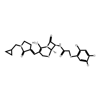 O=C(CSc1cc(Cl)c(Cl)cc1Cl)N[C@@H]1C(=O)N2C(C(=O)O)=C(C=C3CCN(CC4CC4)C3=O)CS[C@H]12